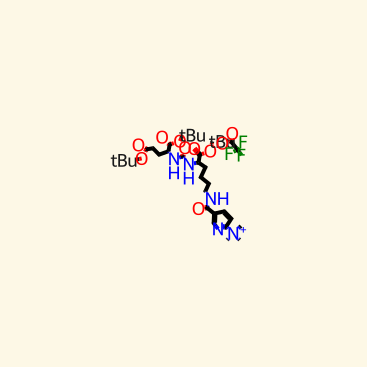 CC(C)(C)OC(=O)CCC(NC(=O)NC(CCCCNC(=O)c1ccc([N+](C)(C)C)nc1)C(=O)OC(C)(C)C)C(=O)OC(C)(C)C.O=C([O-])C(F)(F)F